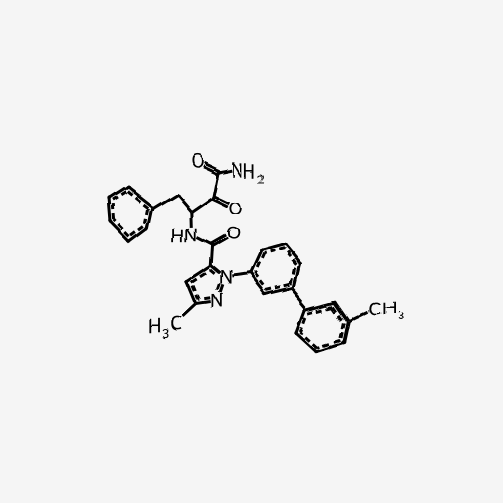 Cc1cccc(-c2cccc(-n3nc(C)cc3C(=O)NC(Cc3ccccc3)C(=O)C(N)=O)c2)c1